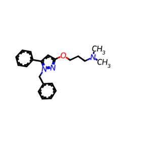 CN(C)CCCOc1cc(-c2ccccc2)n(Cc2ccccc2)n1